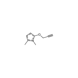 C#CCOc1ccc(C)n1C